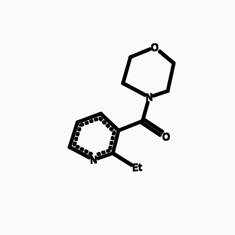 CCc1ncccc1C(=O)N1CCOCC1